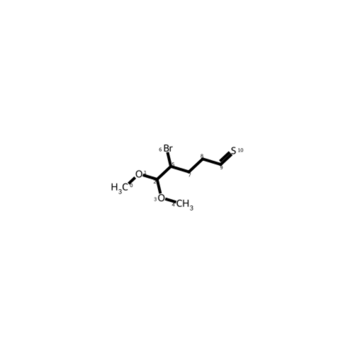 COC(OC)C(Br)CCC=S